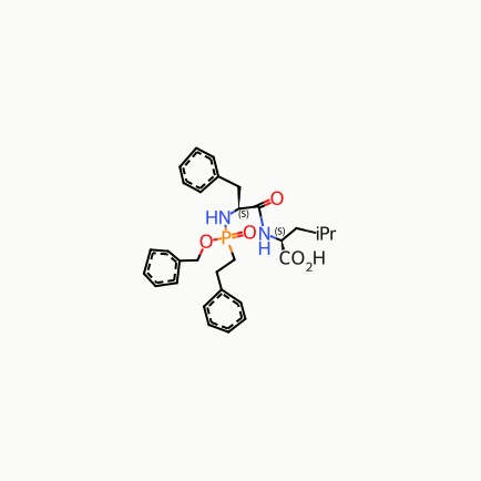 CC(C)C[C@H](NC(=O)[C@H](Cc1ccccc1)NP(=O)(CCc1ccccc1)OCc1ccccc1)C(=O)O